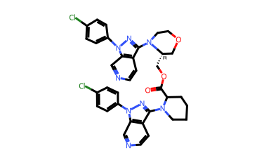 O=C(OC[C@H]1COCCN1c1nn(-c2ccc(Cl)cc2)c2cnccc12)C1CCCCN1c1nn(-c2ccc(Cl)cc2)c2cnccc12